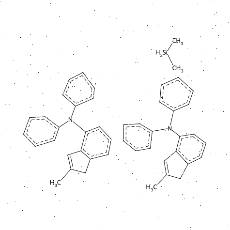 CC1=Cc2c(cccc2N(c2ccccc2)c2ccccc2)C1.CC1=Cc2c(cccc2N(c2ccccc2)c2ccccc2)C1.C[SiH2]C